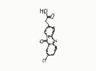 O=C(O)Cc1ccc2nc3ccc(Cl)cc3c(=O)n2c1